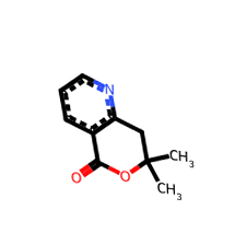 CC1(C)Cc2ncccc2C(=O)O1